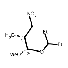 CCC(CC)O[C@H](OC)[C@H](C)C[N+](=O)[O-]